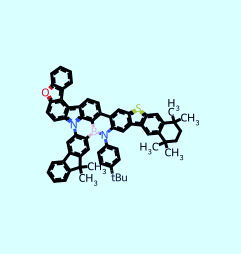 CC(C)(C)c1ccc(N2B3c4cc5c(cc4-n4c6ccc7oc8ccccc8c7c6c6ccc(c3c64)-c3cc4sc6cc7c(cc6c4cc32)C(C)(C)CCC7(C)C)-c2ccccc2C5(C)C)cc1